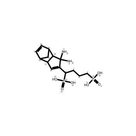 NC1(N)C(C(CCCP(=O)(O)O)P(=O)(O)O)=CC2C3C=CC(C3)C21